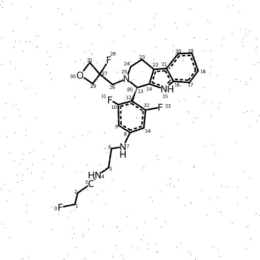 FCCCNCCNc1cc(F)c([C@@H]2c3[nH]c4ccccc4c3CCN2CC2(F)COC2)c(F)c1